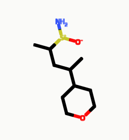 CC(CC(C)[S+](N)[O-])C1CCOCC1